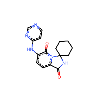 O=C1NC2(CCCCC2)n2c1ccc(Nc1ccncn1)c2=O